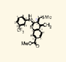 C=c1/c(=C\SC)c(Nc2cccc(C(F)(F)F)c2)nc2cc(C(=O)OC)ccc12